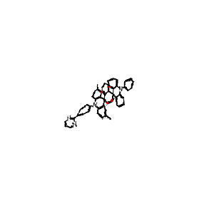 Cc1ccc2c(c1)C1(c3cc(C)ccc3N2c2ccc(-c3ncccn3)cc2)c2ccccc2C2(c3ccccc3N(c3ccccc3)c3ccccc32)c2ccccc21